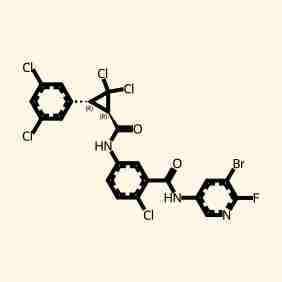 O=C(Nc1cnc(F)c(Br)c1)c1cc(NC(=O)[C@H]2[C@H](c3cc(Cl)cc(Cl)c3)C2(Cl)Cl)ccc1Cl